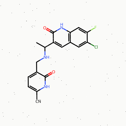 CC(NCc1ccc(C#N)[nH]c1=O)c1cc2cc(Cl)c(F)cc2[nH]c1=O